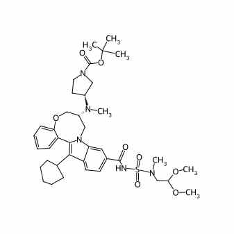 COC(CN(C)S(=O)(=O)NC(=O)c1ccc2c(C3CCCCC3)c3n(c2c1)C[C@@H](N(C)[C@H]1CCN(C(=O)OC(C)(C)C)C1)COc1ccccc1-3)OC